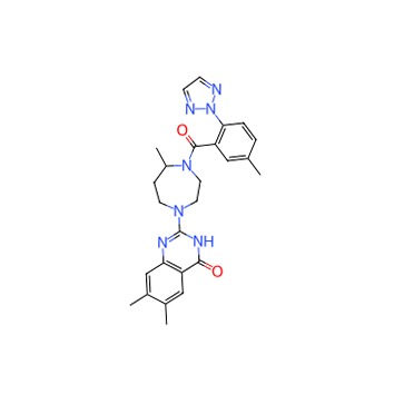 Cc1ccc(-n2nccn2)c(C(=O)N2CCN(c3nc4cc(C)c(C)cc4c(=O)[nH]3)CCC2C)c1